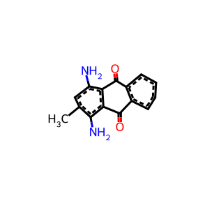 Cc1cc(N)c2c(c1N)C(=O)c1ccccc1C2=O